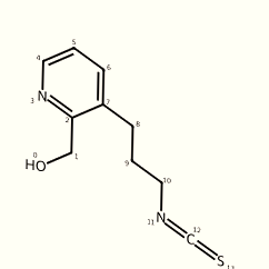 OCc1ncccc1CCCN=C=S